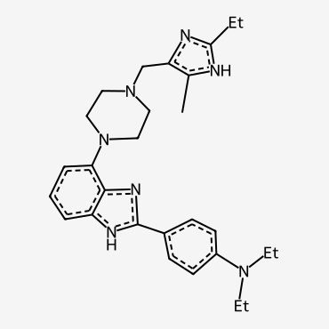 CCc1nc(CN2CCN(c3cccc4[nH]c(-c5ccc(N(CC)CC)cc5)nc34)CC2)c(C)[nH]1